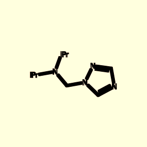 CC(C)N(Cn1cncn1)C(C)C